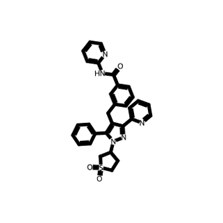 O=C(Nc1ccccn1)c1cccc(Cc2c(-c3ccccn3)nn(C3CCS(=O)(=O)C3)c2-c2ccccc2)c1